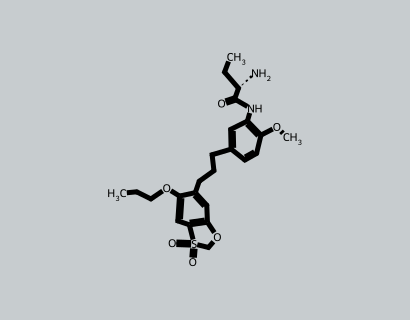 CCCOc1cc2c(cc1CCCc1ccc(OC)c(NC(=O)[C@@H](N)CC)c1)OCS2(=O)=O